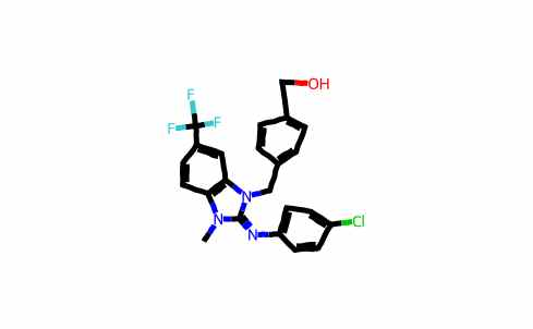 Cn1/c(=N/c2ccc(Cl)cc2)n(Cc2ccc(CO)cc2)c2cc(C(F)(F)F)ccc21